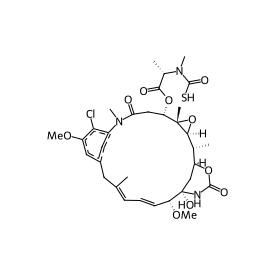 COc1cc2cc(c1Cl)N(C)C(=O)C[C@H](OC(=O)[C@H](C)N(C)C(=O)S)[C@]1(C)O[C@H]1[C@H](C)[C@@H]1C[C@@](O)(NC(=O)O1)[C@H](OC)/C=C/C=C(\C)C2